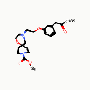 COC(=O)Cc1cccc(OCCN2CCOC3(CCN(C(=O)OC(C)(C)C)CC3)C2)c1